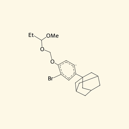 CCC(OC)OCOc1c[c]c(C23CC4CC(CC(C4)C2)C3)cc1Br